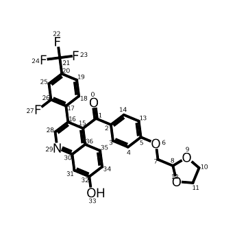 O=C(c1ccc(OCC2OCCO2)cc1)c1c(-c2ccc(C(F)(F)F)cc2F)cnc2cc(O)ccc12